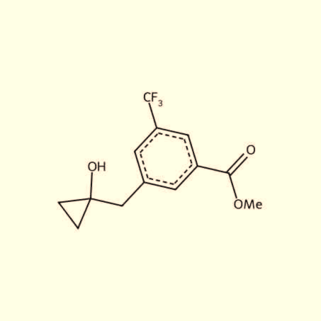 COC(=O)c1cc(CC2(O)CC2)cc(C(F)(F)F)c1